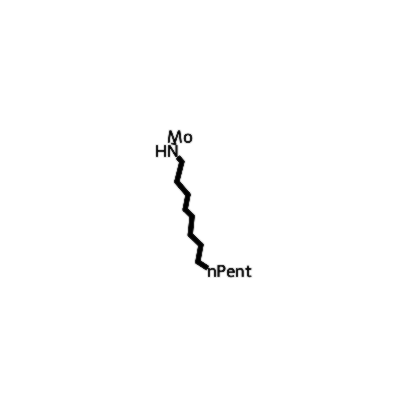 CCCCCCCCCCCCC[NH][Mo]